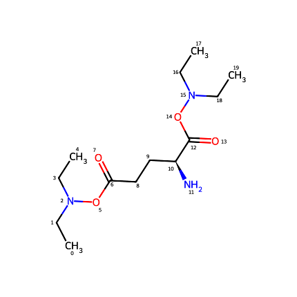 CCN(CC)OC(=O)CC[C@H](N)C(=O)ON(CC)CC